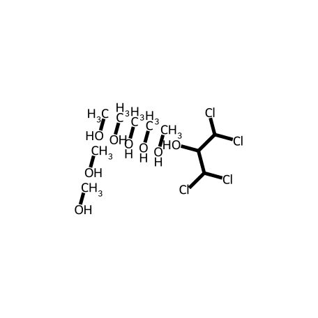 CO.CO.CO.CO.CO.CO.CO.OC(C(Cl)Cl)C(Cl)Cl